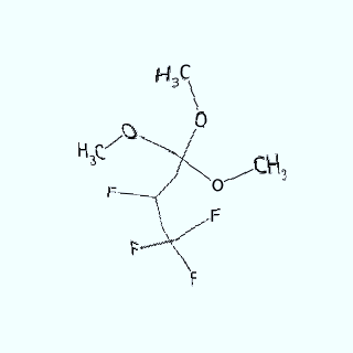 COC(OC)(OC)C(F)C(F)(F)F